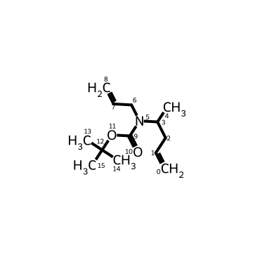 C=CCC(C)N(CC=C)C(=O)OC(C)(C)C